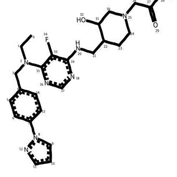 CCN(Cc1ccc(-n2cccn2)cc1)c1ncnc(NCC2CCN(CC(N)=O)CC2O)c1F